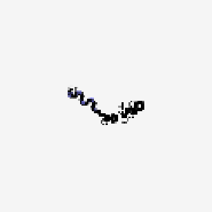 CC/C=C\C/C=C\C/C=C\C/C=C\C/C=C\CCCC(=O)N1CCC(NC(=O)C2=CC(=O)C(C)(c3ccccc3)O2)C1